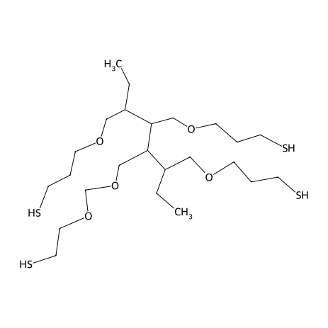 CCC(COCCCS)C(COCCCS)C(COCOCCS)C(CC)COCCCS